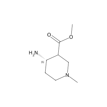 COC(=O)C1CN(C)CC[C@@H]1N